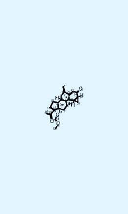 C=C1C[C@@H]2[C@H](CC[C@@]3(C)[C@H]2CC[C@]3(OCOC)C(C)=O)[C@]2(C)C1=CC(=O)[C@@H]1C[C@@H]12